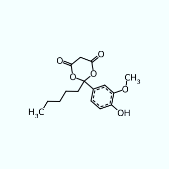 CCCCCC1(c2ccc(O)c(OC)c2)OC(=O)CC(=O)O1